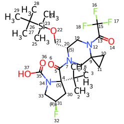 CC(C)(C)[C@]1(C(=O)N2CC3(CC3)N(C(=O)C(F)(F)F)C[C@H]2CO[Si](C)(C)C(C)(C)C)C[C@@H](F)CN1C(=O)O